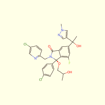 CC(O)CO[C@]1(c2ccc(Cl)cc2)c2c(F)cc(C(C)(O)c3cnn(C)c3)cc2C(=O)N1Cc1ccc(Cl)cn1